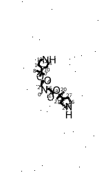 CN(CC(=O)OC(C)(C)C1CCNCC1)CC(=O)OC(C)(C)C1CCNCC1